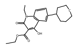 CCOC(=O)c1c(O)c2cc(C3CCCCCC3)ccc2n(CC)c1=O